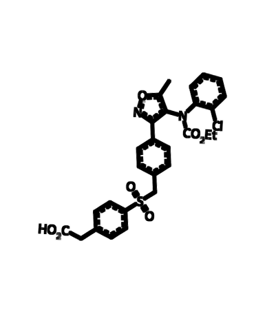 CCOC(=O)N(c1ccccc1Cl)c1c(-c2ccc(CS(=O)(=O)c3ccc(CC(=O)O)cc3)cc2)noc1C